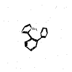 [c]1cccc(-c2ncc[nH]2)c1-c1ccccc1